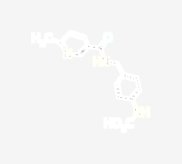 Cc1ccc(C(=O)NCc2ccc(NC(=O)O)cc2)cn1